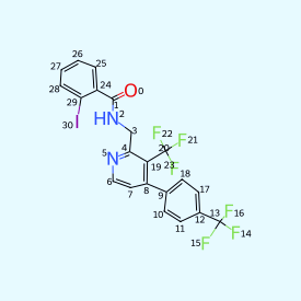 O=C(NCc1nccc(-c2ccc(C(F)(F)F)cc2)c1C(F)(F)F)c1ccccc1I